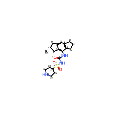 O=C(Nc1c2c(cc3c1CCC3)CCC2)NS(=O)(=O)C1CCNCC1.[K]